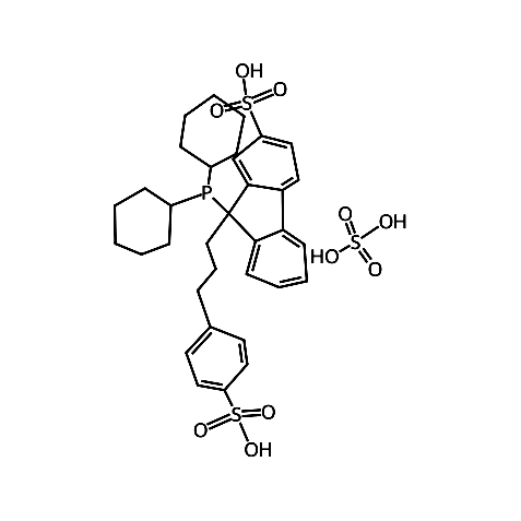 O=S(=O)(O)O.O=S(=O)(O)c1ccc(CCCC2(P(C3CCCCC3)C3CCCCC3)c3ccccc3-c3ccc(S(=O)(=O)O)cc32)cc1